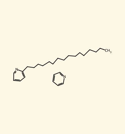 CCCCCCCCCCCCCCCCc1ccccn1.c1ccncc1